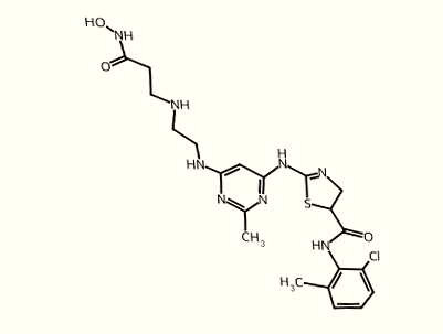 Cc1nc(NCCNCCC(=O)NO)cc(NC2=NCC(C(=O)Nc3c(C)cccc3Cl)S2)n1